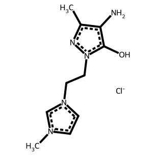 Cc1nn(CCn2cc[n+](C)c2)c(O)c1N.[Cl-]